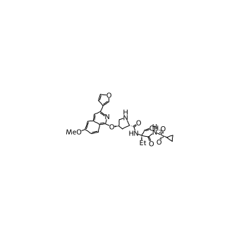 C=C[C@@](CC)(NC(=O)[C@@H]1C[C@@H](Oc2nc(-c3ccoc3)cc3cc(OC)ccc23)CN1)C(=O)NS(=O)(=O)C1CC1